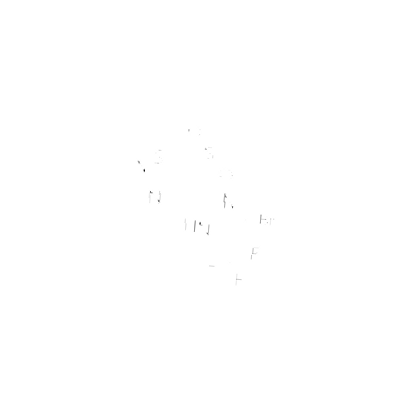 CS(=O)(=O)c1snnc1-c1nc(Br)c(C(F)(F)F)[nH]1